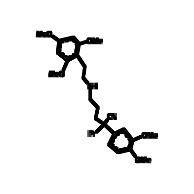 COc1cc(OC)c(CCNCCCC(C#N)(c2ccc(OC)c(OC)c2)C(C)C)c(OC)c1